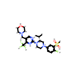 CC(C)[C@@H]1CN(c2ccc(F)c(S(C)(=O)=O)c2)CCN1c1ncc(CN2CCOCC2)c(C(F)(F)F)n1